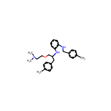 Cc1ccc(CNc2ccccc2NC(COCCN(C)C)Cc2ccc(C)cc2)cc1